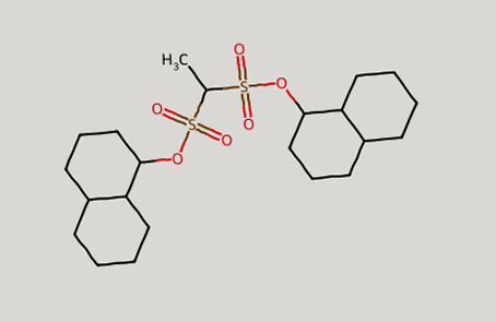 CC(S(=O)(=O)OC1CCCC2CCCCC21)S(=O)(=O)OC1CCCC2CCCCC21